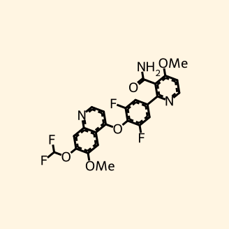 COc1cc2c(Oc3c(F)cc(-c4nccc(OC)c4C(N)=O)cc3F)ccnc2cc1OC(F)F